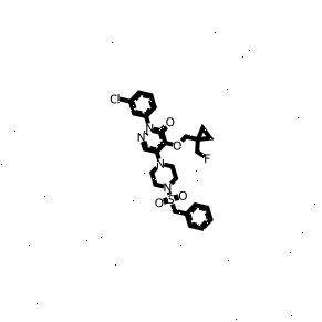 O=c1c(OCC2(CF)CC2)c(N2CCN(S(=O)(=O)Cc3ccccc3)CC2)cnn1-c1cccc(Cl)c1